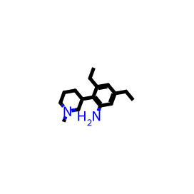 CCc1cc(N)c(C2CCCN(C)C2)c(CC)c1